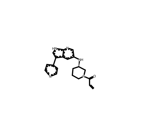 C=CC(=O)N1CCC[C@@H](Nc2cnc3[nH]cc(-c4ccncc4)c3c2)C1